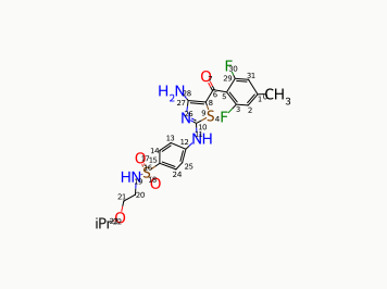 Cc1cc(F)c(C(=O)c2sc(Nc3ccc(S(=O)(=O)NCCOC(C)C)cc3)nc2N)c(F)c1